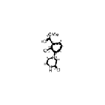 COC(=O)c1cccc(N2CCNC(=O)C2)c1Cl